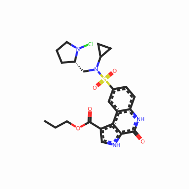 CCCOC(=O)c1c[nH]c2c(=O)[nH]c3ccc(S(=O)(=O)N(C[C@@H]4CCCN4Cl)C4CC4)cc3c12